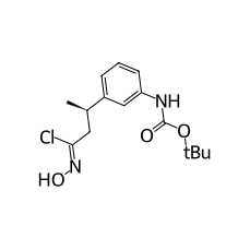 C[C@H](CC(Cl)=NO)c1cccc(NC(=O)OC(C)(C)C)c1